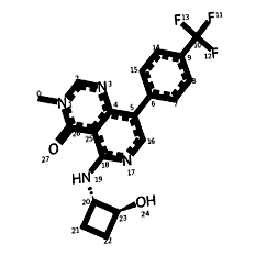 Cn1cnc2c(-c3ccc(C(F)(F)F)cc3)cnc(N[C@H]3CC[C@@H]3O)c2c1=O